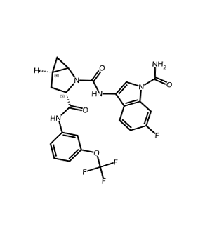 NC(=O)n1cc(NC(=O)N2C3C[C@@H]3C[C@H]2C(=O)Nc2cccc(OC(F)(F)F)c2)c2ccc(F)cc21